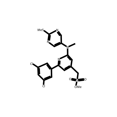 COS(=O)(=O)Cc1cc(-c2cc(Cl)cc(Cl)c2)nc(N(C)c2cnc(SC)nc2)c1